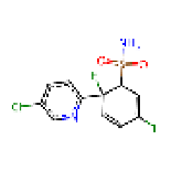 NS(=O)(=O)C1C=C(F)C=CC1(F)c1ccc(Cl)cn1